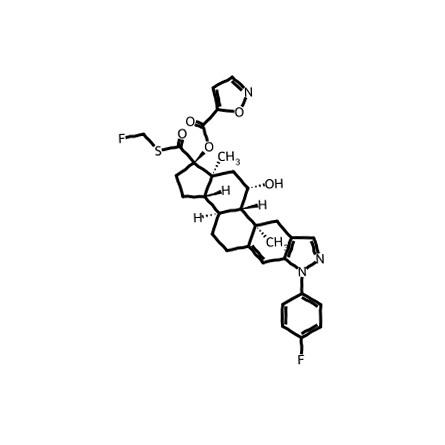 C[C@]12Cc3cnn(-c4ccc(F)cc4)c3C=C1CC[C@@H]1[C@@H]2[C@@H](O)C[C@@]2(C)[C@H]1CC[C@]2(OC(=O)c1ccno1)C(=O)SCF